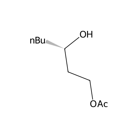 CCCC[C@H](O)CCOC(C)=O